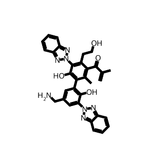 C=C(C)C(=O)c1c(C)c(-c2cc(CN)cc(-n3nc4ccccc4n3)c2O)c(O)c(-n2nc3ccccc3n2)c1CCO